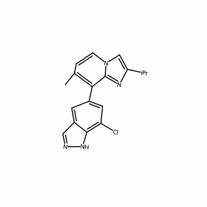 Cc1ccn2cc(C(C)C)nc2c1-c1cc(Cl)c2[nH]ncc2c1